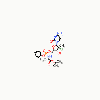 CC(C)OC(=O)[C@@H](C)N[P@](=O)(OC[C@H]1O[C@@H](n2ccc(N)nc2=O)[C@](C)(Cl)[C@@H]1O)Oc1ccccc1